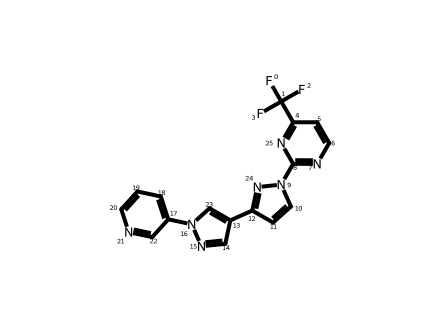 FC(F)(F)c1ccnc(-n2ccc(-c3cnn(-c4cccnc4)c3)n2)n1